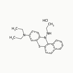 CCNN1c2ccc(N(CC)CC)cc2Sc2ccc3ccccc3c21.Cl